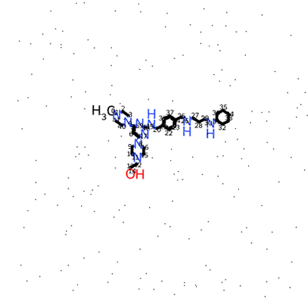 CN1CCN(c2cc(N3CCN(CCO)CC3)nc(NCc3ccc(CNCCCNC4CCCCC4)cc3)n2)CC1